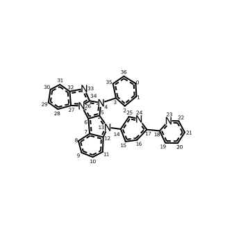 c1ccc(-n2c3c(c4ccccc4n3-c3ccc(-c4ccccn4)nc3)n3c4ccccc4nc23)cc1